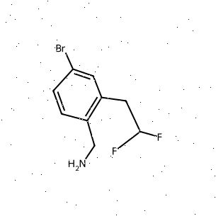 NCc1ccc(Br)cc1CC(F)F